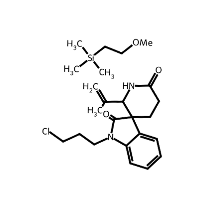 C=C(C)C1NC(=O)CCC12C(=O)N(CCCCl)c1ccccc12.COCC[Si](C)(C)C